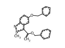 C=C(OCc1ccccc1)c1c2cc(OCc3ccccc3)ccc2nn1C